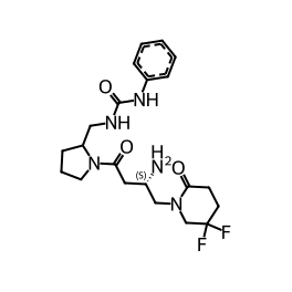 N[C@@H](CC(=O)N1CCCC1CNC(=O)Nc1ccccc1)CN1CC(F)(F)CCC1=O